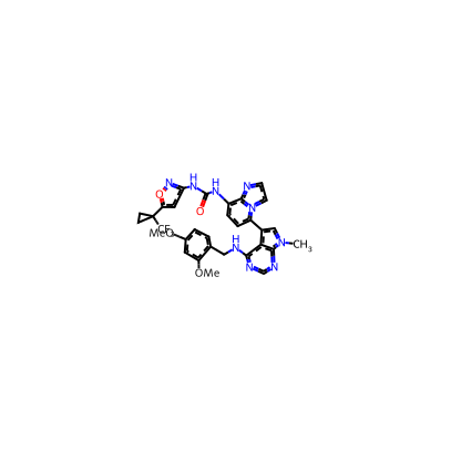 COc1ccc(CNc2ncnc3c2c(-c2ccc(NC(=O)Nc4cc(C5(C(F)(F)F)CC5)on4)c4nccn24)cn3C)c(OC)c1